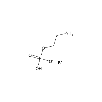 NCCOP(=O)([O-])O.[K+]